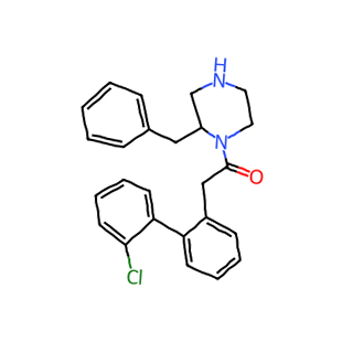 O=C(Cc1ccccc1-c1ccccc1Cl)N1CCNCC1Cc1ccccc1